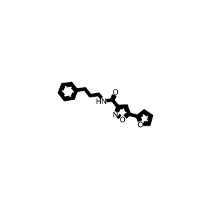 O=C(NCCCc1ccccc1)c1cc(-c2ccco2)on1